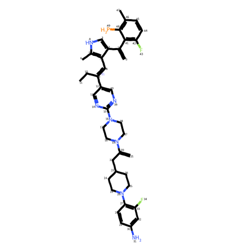 C=C(c1c[nH]c(C)c1/C=C(\CC)c1cnc(N2CCN(C(=C)CC3CCN(c4ccc(N)cc4F)CC3)CC2)nc1)c1c(F)ccc(C)c1P